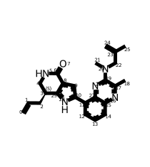 C=CC[C@H]1CNC(=O)c2cc(-c3cccc4nc(C)c(N(C)CC(=C)C)nc34)[nH]c21